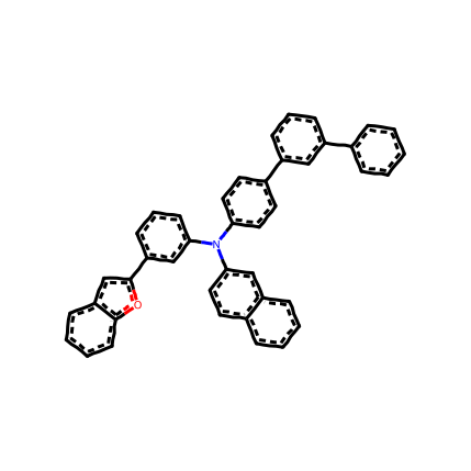 c1ccc(-c2cccc(-c3ccc(N(c4cccc(-c5cc6ccccc6o5)c4)c4ccc5ccccc5c4)cc3)c2)cc1